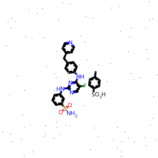 Cc1ccc(S(=O)(=O)O)cc1.NS(=O)(=O)c1cccc(Nc2ncc(F)c(Nc3ccc(Cc4ccncc4)cc3)n2)c1